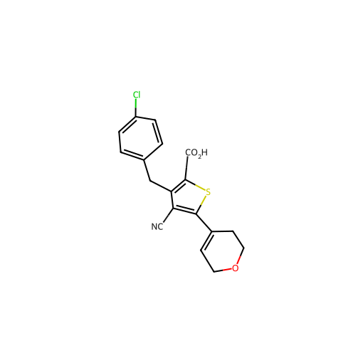 N#Cc1c(C2=CCOCC2)sc(C(=O)O)c1Cc1ccc(Cl)cc1